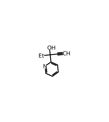 C#CC(O)(CC)c1ccccn1